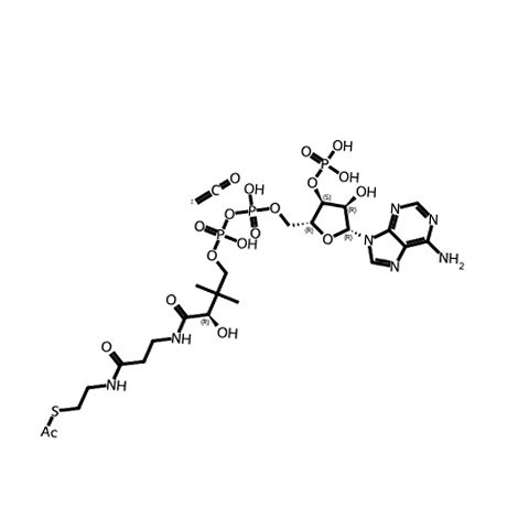 CC(=O)SCCNC(=O)CCNC(=O)[C@H](O)C(C)(C)COP(=O)(O)OP(=O)(O)OC[C@H]1O[C@@H](n2cnc3c(N)ncnc32)[C@H](O)[C@@H]1OP(=O)(O)O.[C]=C=O